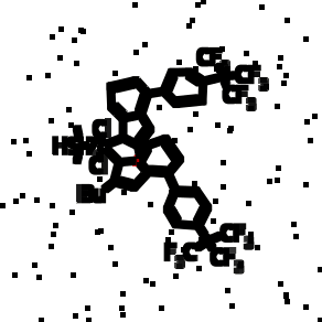 CCC(C)C1=Cc2c(-c3ccc(C(C(F)(F)F)(C(F)(F)F)C(F)(F)F)cc3)cccc2[CH]1[Zr]([Cl])([Cl])([CH]1C(C)=Cc2c(-c3ccc(C(C(F)(F)F)(C(F)(F)F)C(F)(F)F)cc3)cccc21)[SiH](C)C